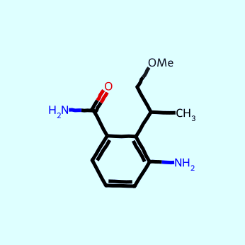 COCC(C)c1c(N)cccc1C(N)=O